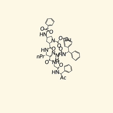 CCC[C@H](NC(=O)C1C[C@@H](NS(=O)(=O)c2ccccc2)CN1C(=O)OC(C)(C)C)C(=NNC(=O)NC(c1ccccc1)c1ccccc1)C(=O)NCC(=O)N[C@H](C(C)=O)c1ccccc1